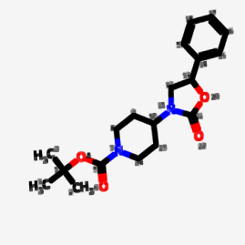 CC(C)(C)OC(=O)N1CCC(N2CC(c3ccccc3)OC2=O)CC1